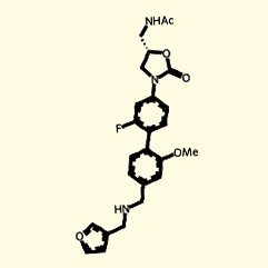 COc1cc(CNCc2ccoc2)ccc1-c1ccc(N2C[C@H](CNC(C)=O)OC2=O)cc1F